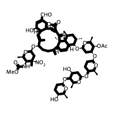 COC(=O)N[C@H]1[C@@H](C)O[C@@H](O[C@H]2CCC(C)[C@H]3C=C[C@@H]4[C@@H](O[C@H]5C[C@@H](O[C@H]6CCC(O[C@H]7C[C@@H](O)C(O[C@H]8CC[C@@H](O)[C@H](C)O8)[C@H](C)O7)[C@H](C)O6)[C@@H](OC(C)=O)[C@H](C)O5)[C@@H](C)C[C@H](C)[C@H]4[C@]3(C)C(=O)C3=C(O)C4(CC(C=O)=C[C@H](O)[C@H]4/C=C/2C)OC3=O)C[C@]1(C)[N+](=O)[O-]